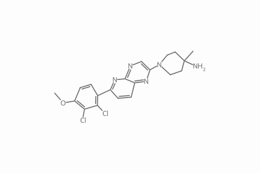 COc1ccc(-c2ccc3nc(N4CCC(C)(N)CC4)cnc3n2)c(Cl)c1Cl